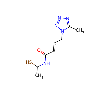 Cc1nnnn1C/C=C/C(=O)NC(C)S